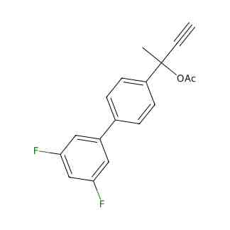 C#CC(C)(OC(C)=O)c1ccc(-c2cc(F)cc(F)c2)cc1